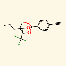 C#Cc1ccc(C23OCC(CCC)(CO2)C(C(F)(F)F)O3)cc1